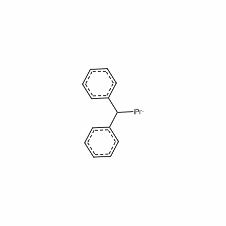 C[C](C)C(c1ccccc1)c1ccccc1